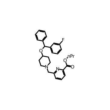 CCCOC(=O)c1cccc(CN2CCC(OC(c3ccccc3)c3cccc(F)c3)CC2)n1